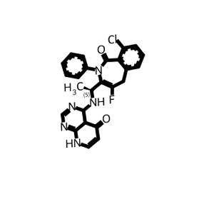 C[C@H](NC1N=CN=C2NC=CC(=O)C21)C1=C(F)Cc2cccc(Cl)c2C(=O)N1c1ccccc1